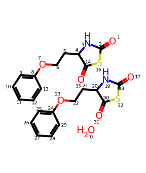 O.O=C1NC(CCOc2ccccc2)C(=O)S1.O=C1NC(CCOc2ccccc2)C(=O)S1